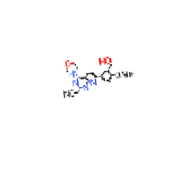 COc1ccc(-c2ccc3c(N4CCOCC4)nc(CC#N)nc3n2)cc1CO